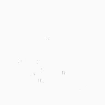 Cl.O=S1(=O)NCCN(CC2CC2)c2ccc(Oc3ccccc3)cc21